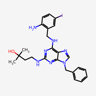 CC(C)(O)CCNc1nc(NCc2cc(I)ccc2N)c2ncn(Cc3ccccc3)c2n1